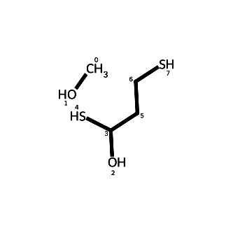 CO.OC(S)CCS